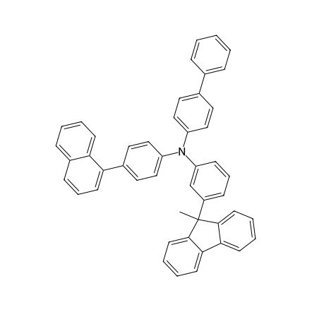 CC1(c2cccc(N(c3ccc(-c4ccccc4)cc3)c3ccc(-c4cccc5ccccc45)cc3)c2)c2ccccc2-c2ccccc21